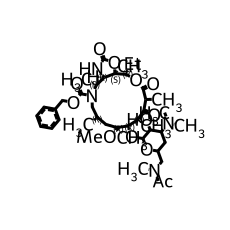 CC[C@H]1OC(=O)C(C)C(=O)[C@H](C)[C@@H](OC2OC(CN(C)C(C)=O)CC(N(C)C)C2O)[C@](C)(OC)C[C@@H](C)CN(C(=O)OCc2ccccc2)[C@H](C)[C@H]2NC(=O)O[C@@]21C